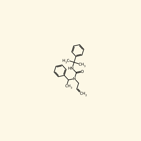 C=CCN(C(=O)NC(C)(C)c1ccccc1)C(C)c1ccccc1